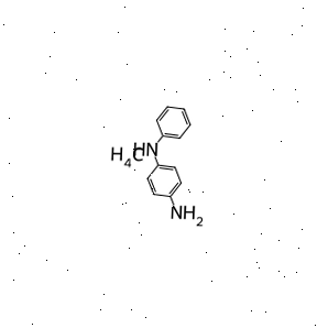 C.Nc1ccc(Nc2ccccc2)cc1